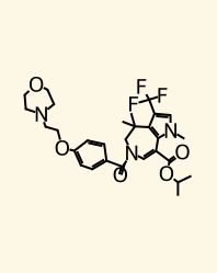 CC(C)OC(=O)C1=CN(C(=O)c2ccc(OCCN3CCOCC3)cc2)CC(C)(C)c2c(C(F)(F)F)cn(C)c21